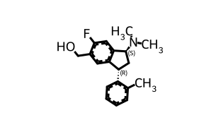 Cc1ccccc1[C@H]1C[C@H](N(C)C)c2cc(F)c(CO)cc21